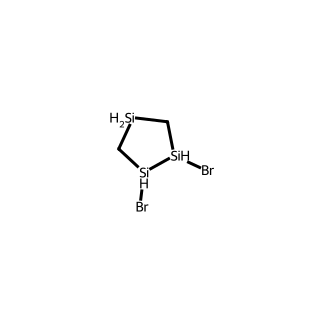 Br[SiH]1C[SiH2]C[SiH]1Br